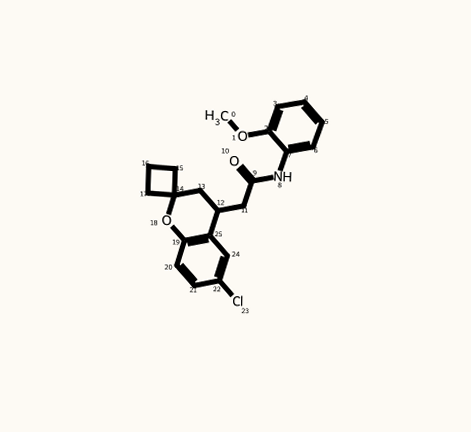 COc1ccccc1NC(=O)CC1CC2(CCC2)Oc2ccc(Cl)cc21